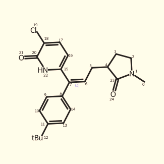 CN1CCC(C/C=C(/c2ccc(C(C)(C)C)cc2)c2ccc(Cl)c(=O)[nH]2)C1=O